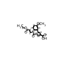 CCOC(=O)C=Cn1c(=O)n2nc(C(=O)O)cc2c2cc(OC)ccc21